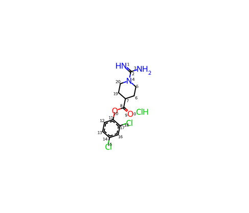 Cl.N=C(N)N1CCC(C(=O)Oc2ccc(Cl)cc2Cl)CC1